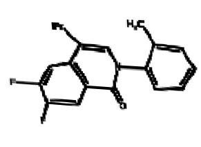 Cc1ccccc1-n1cc(C(C)C)c2cc(F)c(F)cc2c1=O